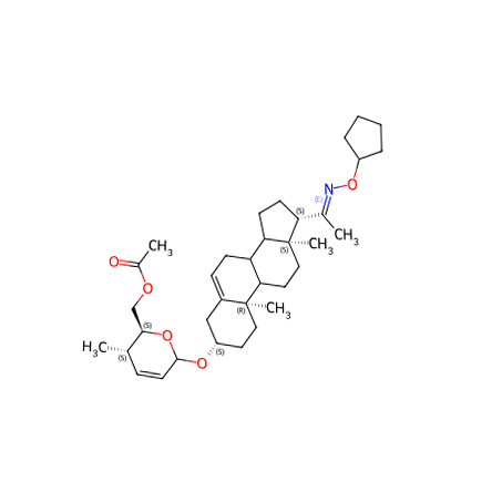 CC(=O)OC[C@H]1OC(O[C@H]2CC[C@@]3(C)C(=CCC4C3CC[C@@]3(C)C4CC[C@@H]3/C(C)=N/OC3CCCC3)C2)C=C[C@@H]1C